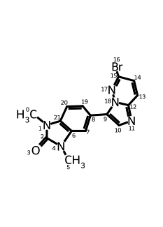 Cn1c(=O)n(C)c2cc(-c3cnc4ccc(Br)nn34)ccc21